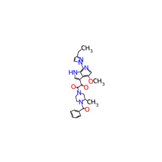 CCc1ccn(-c2ncc(OC)c3c(C(=O)C(=O)N4CCN(C(=O)c5ccccc5)[C@H](C)C4)c[nH]c23)n1